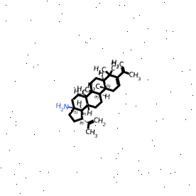 C=C(C)C1=CC[C@]2(C)[C@H]3CC[C@@H]4[C@H]5[C@H](C(=C)C)CC[C@]5(N)CC[C@@]4(C)[C@]3(C)CC[C@H]2C1(C)C